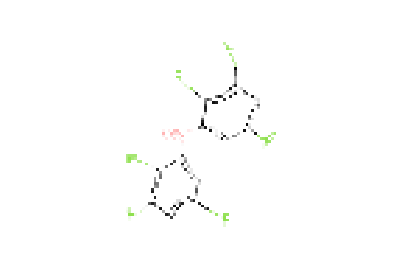 Fc1cc(F)c(F)c(Bc2cc(F)cc(F)c2F)c1